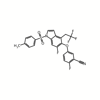 Cc1ccc(S(=O)(=O)n2ccc3c(CC(F)(F)F)c(Oc4ccc(F)c(C#N)c4)c(F)cc32)cc1